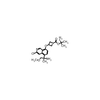 COC[C@@](C)(N)c1ccc(OC2CN(C(=O)OC(C)(C)C)C2)c2cnc(Cl)cc12